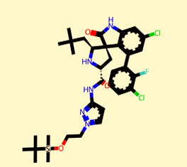 CC(C)(C)C[C@@H]1N[C@@H](C(=O)Nc2ccn(CCO[Si](C)(C)C(C)(C)C)n2)C[C@]12C(=O)Nc1cc(Cl)cc(-c3cccc(Cl)c3F)c12